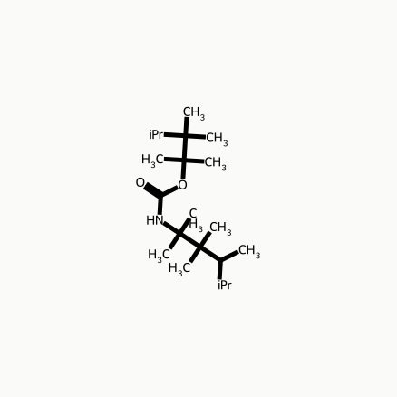 CC(C)C(C)C(C)(C)C(C)(C)NC(=O)OC(C)(C)C(C)(C)C(C)C